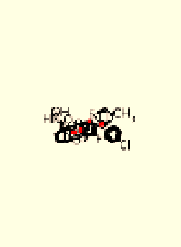 CN1CCN(CCS(=O)(=O)N2CC3CCC(C(=O)NO)(C2)N3S(=O)(=O)c2cc(F)c(Oc3ccc(Cl)cc3)c(F)c2)CC1